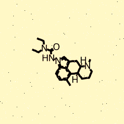 CCN(CC)C(=O)Nn1cc2c3c(c(C)ccc31)[C@H]1CCCN(C)[C@@H]1C2